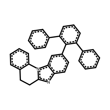 c1ccc(-c2cccc(-c3ccccc3)c2-c2ccc3nc4n(c3c2)-c2ccccc2CC4)cc1